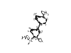 Cc1ccc(-c2ccc(C(=O)O)c(Cl)c2)cc1